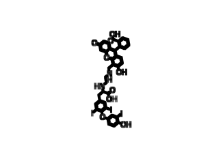 O=C(O)c1ccccc1-c1c2ccc(=O)cc-2oc2c(CNCCNC(Cc3cc(I)c(Oc4ccc(O)c(I)c4)c(I)c3)C(=O)O)c(O)ccc12